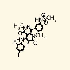 Cn1nc(-c2cccc(NS(C)(=O)=O)c2)c2c(c(Nc3ccc(I)cc3F)c(F)c(=O)n2C)c1=O